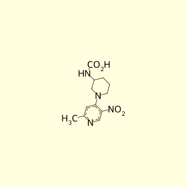 Cc1cc(N2CCCC(NC(=O)O)C2)c([N+](=O)[O-])cn1